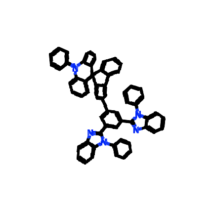 c1ccc(N2c3ccccc3C3(c4ccccc4-c4cc(-c5cc(-c6nc7ccccc7n6-c6ccccc6)cc(-c6nc7ccccc7n6-c6ccccc6)c5)ccc43)c3ccccc32)cc1